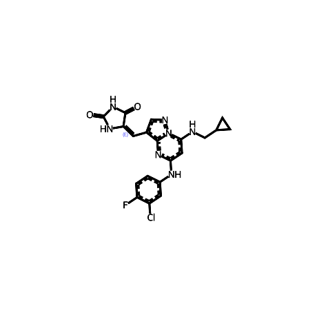 O=C1NC(=O)/C(=C\c2cnn3c(NCC4CC4)cc(Nc4ccc(F)c(Cl)c4)nc23)N1